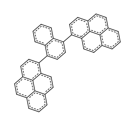 c1cc2ccc3ccc(-c4ccc(-c5ccc6ccc7cccc8ccc5c6c78)c5ccccc45)c4ccc(c1)c2c34